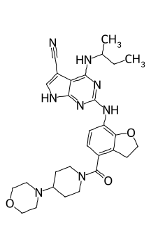 CCC(C)Nc1nc(Nc2ccc(C(=O)N3CCC(N4CCOCC4)CC3)c3c2OCC3)nc2[nH]cc(C#N)c12